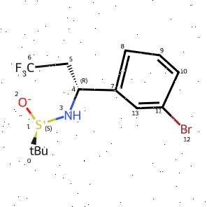 CC(C)(C)[S@@+]([O-])N[C@H](CC(F)(F)F)c1cccc(Br)c1